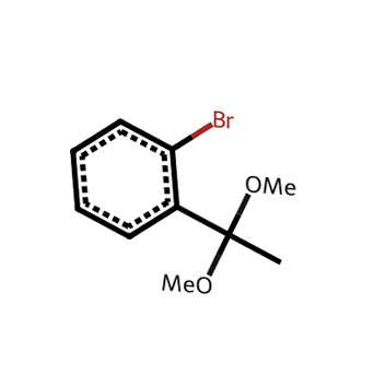 COC(C)(OC)c1ccccc1Br